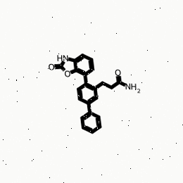 NC(=O)CCc1cc(-c2ccccc2)ccc1-c1cccc2[nH]c(=O)oc12